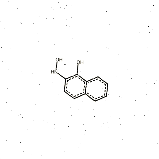 ONc1ccc2ccccc2c1O